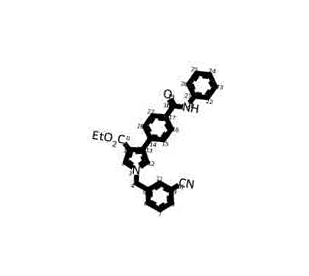 CCOC(=O)c1cn(Cc2cccc(C#N)c2)cc1-c1ccc(C(=O)Nc2ccccc2)cc1